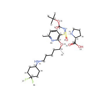 Cc1ccc([S@](=O)(=NC(=O)OC(C)(C)C)N2CCC[C@H]2C(=O)O)c(O[C@H](C)CCCCNC2CCC(F)(F)CC2)n1